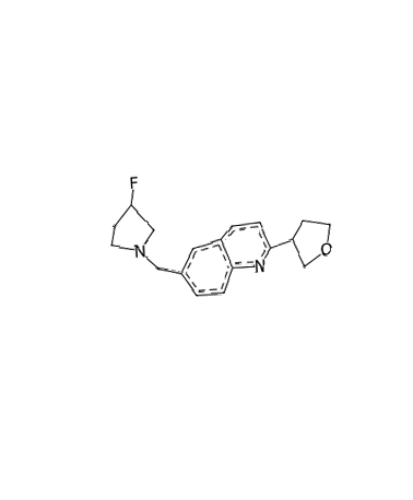 FC1CCN(Cc2ccc3nc(C4CCOC4)ccc3c2)C1